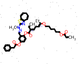 C=CC(=O)OCCCCCCO/C(=C/C/C=C(\C=C)C(=O)Oc1ccc(OC(=O)Cc2ccccc2)cc1/C=N/N(C)c1nc2c(s1)C=CCC=C2)CC